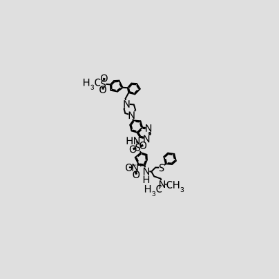 CN(C)CCC(CSc1ccccc1)Nc1ccc(S(=O)(=O)Nc2ncnc3cc(N4CCN(Cc5ccccc5-c5ccc(S(C)(=O)=O)cc5)CC4)ccc23)cc1[N+](=O)[O-]